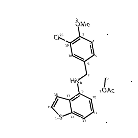 COC(C)=O.COc1ccc(CNc2cccc3sccc23)cc1Cl